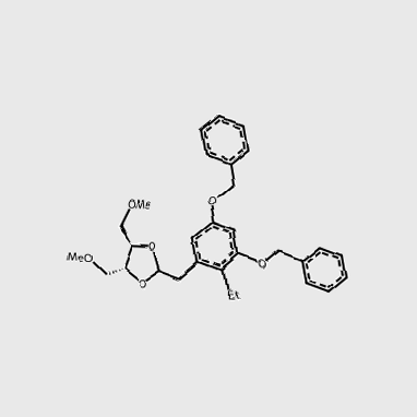 CCc1c(CC2O[C@H](COC)[C@@H](COC)O2)cc(OCc2ccccc2)cc1OCc1ccccc1